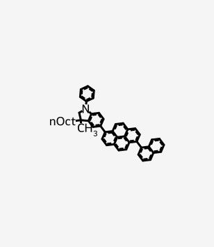 CCCCCCCCC1(C)CN(c2ccccc2)c2ccc(-c3ccc4ccc5c(-c6cccc7ccccc67)ccc6ccc3c4c65)cc21